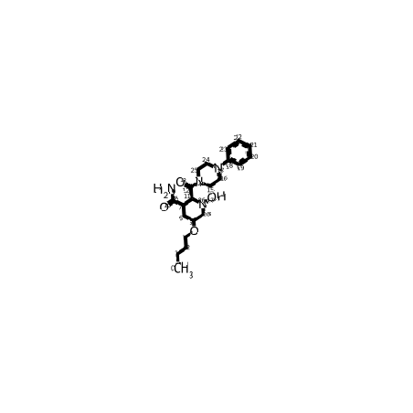 CCCCOC1CC(C(N)=O)C(C(=O)N2CCN(c3ccccc3)CC2)N(O)C1